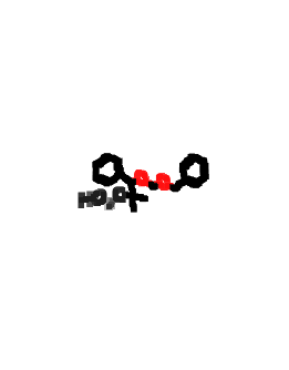 CC(C)(C(=O)O)C(OCOCc1ccccc1)c1ccccc1